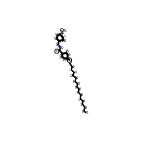 CCCCCCCCCCCCCCCCCCOc1ccc(C(=O)/C=C/c2ccc(SC)cc2)cc1